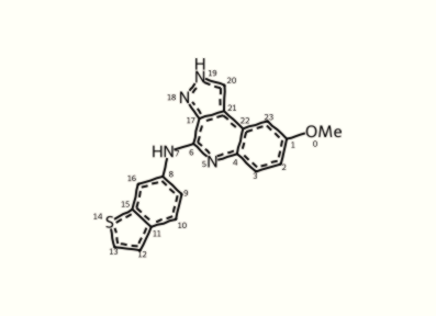 COc1ccc2nc(Nc3ccc4ccsc4c3)c3n[nH]cc3c2c1